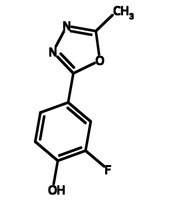 Cc1nnc(-c2ccc(O)c(F)c2)o1